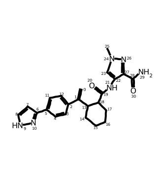 C=C(c1ccc(-c2cc[nH]n2)cc1)C1CCCCC1C(=O)Nc1cn(C)nc1C(N)=O